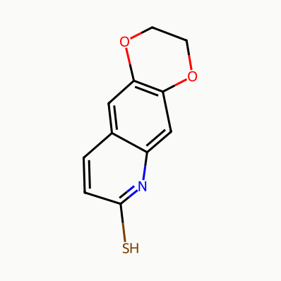 Sc1ccc2cc3c(cc2n1)OCCO3